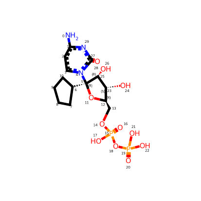 Nc1ccn([C@]2(C3CCCC3)O[C@H](COP(=O)(O)OP(=O)(O)O)[C@@H](O)[C@H]2O)c(=O)n1